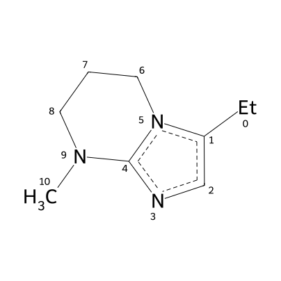 CCc1cnc2n1CCCN2C